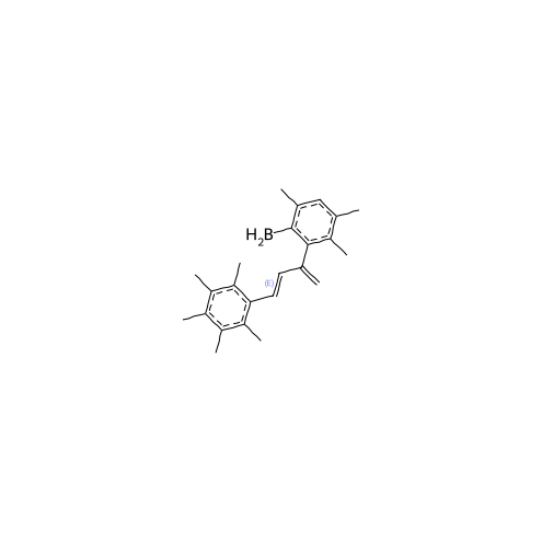 Bc1c(C)cc(C)c(C)c1C(=C)/C=C/c1c(C)c(C)c(C)c(C)c1C